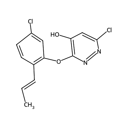 CC=Cc1ccc(Cl)cc1Oc1nnc(Cl)cc1O